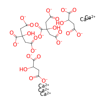 O=C([O-])CC(O)(CC(=O)[O-])C(=O)[O-].O=C([O-])CC(O)(CC(=O)[O-])C(=O)[O-].O=C([O-])CC(O)C(=O)[O-].O=C([O-])CC(O)C(=O)[O-].[Ca+2].[Ca+2].[Ca+2].[Ca+2].[Ca+2]